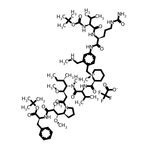 CC[C@H](C)[C@@H]([C@@H](CC(=O)N1CCC[C@H]1[C@H](OC)[C@@H](C)C(=O)N[C@@H](Cc1ccccc1)C(=O)OC(C)(C)C)OC)N(C)C(=O)[C@@H](NC(=O)[C@@H]1CCCC[N+]1(C)Cc1ccc(NC(=O)[C@H](CCCNC(N)=O)NC(=O)[C@@H](NC(=O)OC(C)(C)C)C(C)C)cc1CNC)C(C)C.O=C([O-])C(F)(F)F